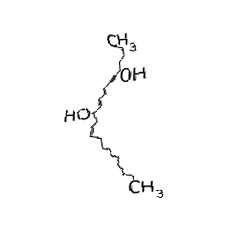 CC/C=C\CC(O)C#C/C=C/C=C/C(O)C/C=C\CCCCCCCCCC